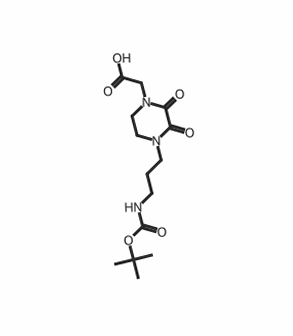 CC(C)(C)OC(=O)NCCCN1CCN(CC(=O)O)C(=O)C1=O